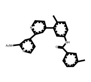 CC(=O)Nc1cc(-c2cc(-c3cc(NC(=O)c4cccc(C)c4)ccc3C)ccn2)ccn1